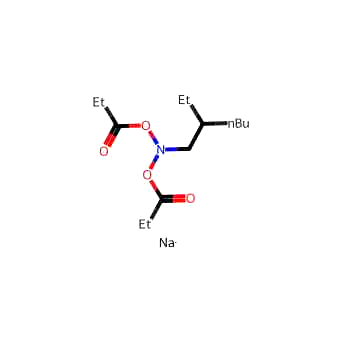 CCCCC(CC)CN(OC(=O)CC)OC(=O)CC.[Na]